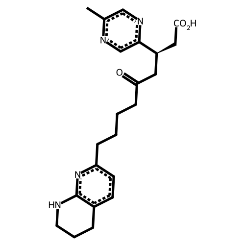 Cc1cnc([C@@H](CC(=O)O)CC(=O)CCCCc2ccc3c(n2)NCCC3)cn1